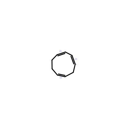 [C]1=C\C=C/CC/C=C\C/1